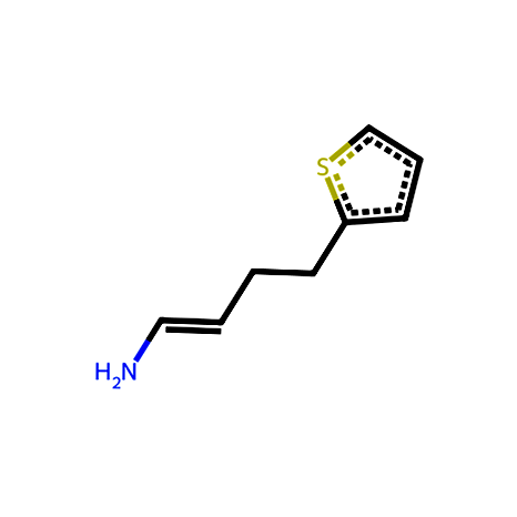 NC=CCCc1cccs1